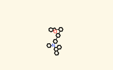 c1ccc(N(c2ccc(-c3ccc(-c4ccccc4-c4cc5ccccc5o4)cc3)cc2)c2cc3ccccc3c3ccccc23)cc1